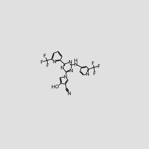 N#Cc1cn(-c2nc(Nc3ccnc(C(F)(F)F)c3)nc(-c3cccc(C(F)(F)F)n3)n2)cc1O